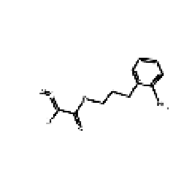 CCC(=S=O)C(=O)OCCCc1ccccc1N